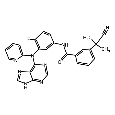 CC(C)(C#N)c1cccc(C(=O)Nc2ccc(F)c(N(c3ccccn3)c3ncnc4[nH]cnc34)c2)c1